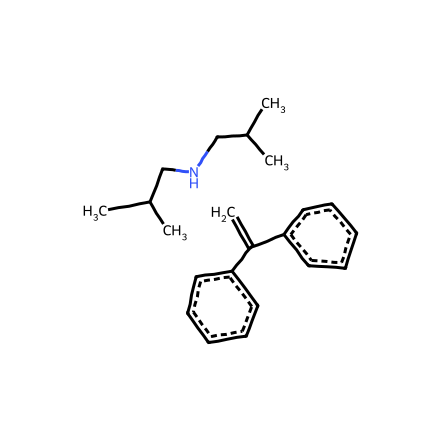 C=C(c1ccccc1)c1ccccc1.CC(C)CNCC(C)C